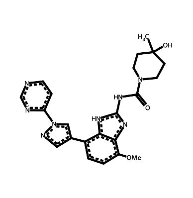 COc1ccc(-c2cnn(-c3ccncn3)c2)c2[nH]c(NC(=O)N3CCC(C)(O)CC3)nc12